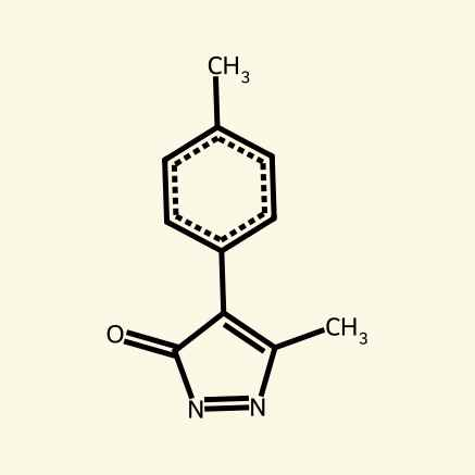 CC1=C(c2ccc(C)cc2)C(=O)N=N1